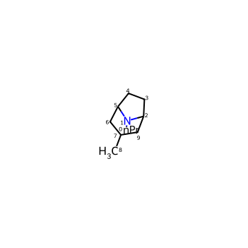 CCCN1C2CCC1CC(C)C2